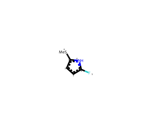 CSc1ccc(F)[nH]1